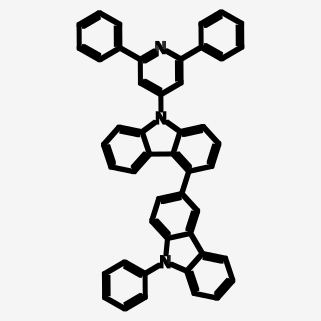 c1ccc(-c2cc(-n3c4ccccc4c4c(-c5ccc6c(c5)c5ccccc5n6-c5ccccc5)cccc43)cc(-c3ccccc3)n2)cc1